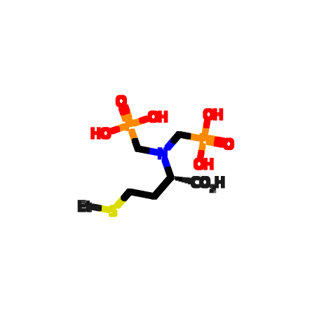 CCSCC[C@@H](C(=O)O)N(CP(=O)(O)O)CP(=O)(O)O